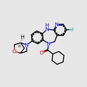 O=C(C1CCCCC1)N1Cc2cc(F)cnc2Nc2ccc(N3CC4C[C@H]3CO4)cc21